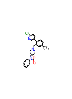 O=C1OC2(CCN(Cc3cc(C(F)(F)F)ccc3-c3ccc(Cl)nc3)CC2)CN1c1ccccc1